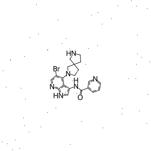 O=C(Nc1c[nH]c2ncc(Br)c(N3CCC4(CCNC4)C3)c12)c1cccnc1